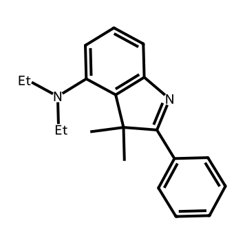 CCN(CC)c1cccc2c1C(C)(C)C(c1ccccc1)=N2